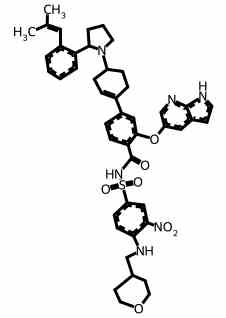 CC(C)=Cc1ccccc1C1CCCN1C1CC=C(c2ccc(C(=O)NS(=O)(=O)c3ccc(NCC4CCOCC4)c([N+](=O)[O-])c3)c(Oc3cnc4[nH]ccc4c3)c2)CC1